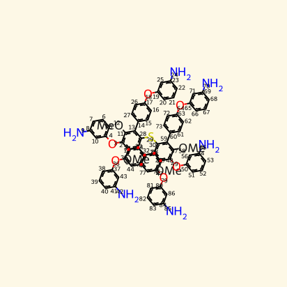 COc1c(Oc2cccc(N)c2)c(OC)c(-c2ccc(Oc3cccc(N)c3)cc2)c(Sc2c(-c3ccc(Oc4cccc(N)c4)cc3)c(OC)c(Oc3cccc(N)c3)c(OC)c2-c2ccc(Oc3cccc(N)c3)cc2)c1-c1ccc(Oc2cccc(N)c2)cc1